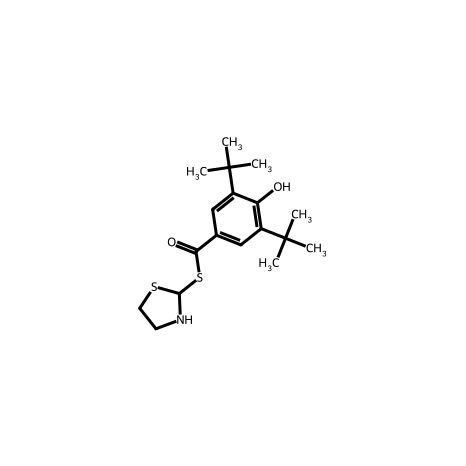 CC(C)(C)c1cc(C(=O)SC2NCCS2)cc(C(C)(C)C)c1O